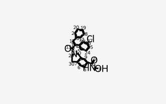 O=C(NO)c1ccc2c(c1)CN(C(=O)/C(=C/c1ccccc1)c1cccc(Cl)c1)CC2